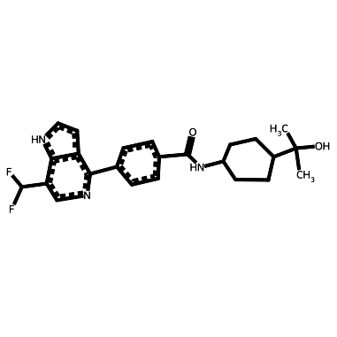 CC(C)(O)C1CCC(NC(=O)c2ccc(-c3ncc(C(F)F)c4[nH]ccc34)cc2)CC1